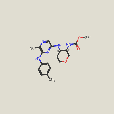 Cc1ccc(Nc2nc(N[C@@H]3CCOC[C@@H]3NC(=O)OC(C)(C)C)cnc2C#N)cc1